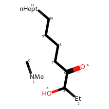 CNC.[CH2]CC(O)C(=O)CCCCCCCCCCC